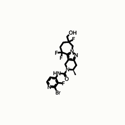 C[C@@H]1Cc2nn3c(c2CN1C(=O)Nc1ccnc(Br)c1F)C(F)(F)CCC(F)(CO)C3